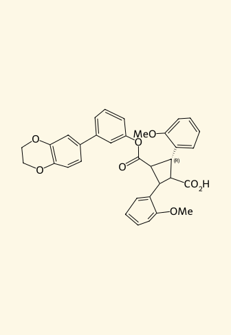 COc1ccccc1C1C(C(=O)O)[C@@H](c2ccccc2OC)C1C(=O)Oc1cccc(-c2ccc3c(c2)OCCO3)c1